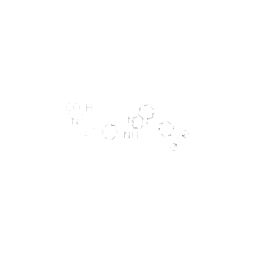 CS(=O)(=O)c1ccc(-c2cccc3nc(Nc4ccc(C5CCCN(CC(=O)O)CC5)cc4)cn23)cc1